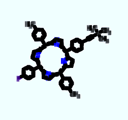 Cc1ccc(-c2c3nc(c(-c4ccc(C#C[Si](C)(C)C)cc4)c4ccc([nH]4)c(-c4ccc(C)cc4)c4nc(c(-c5ccc(I)cc5)c5ccc2[nH]5)C=C4)C=C3)cc1